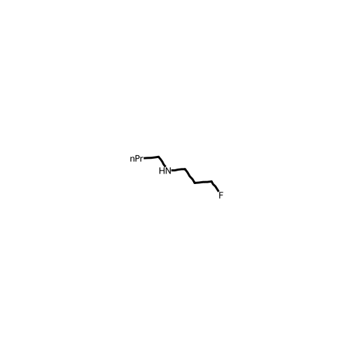 CCCCNCCCF